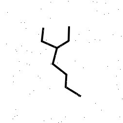 CCC[C]C(CC)CC